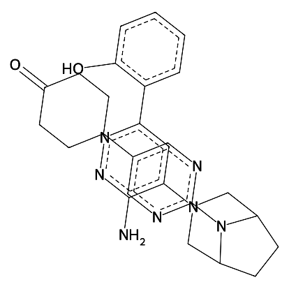 Nc1nnc(-c2ccccc2O)cc1N1CC2CCC(C1)N2c1ncc(C2CCC(=O)CC2)cn1